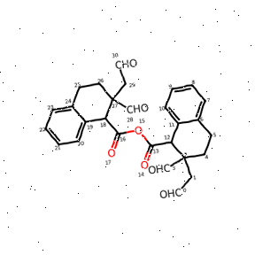 O=CCC1(C=O)CCc2ccccc2C1C(=O)OC(=O)C1c2ccccc2CCC1(C=O)CC=O